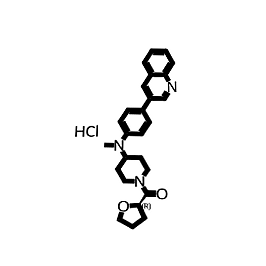 CN(c1ccc(-c2cnc3ccccc3c2)cc1)C1CCN(C(=O)[C@H]2CCCO2)CC1.Cl